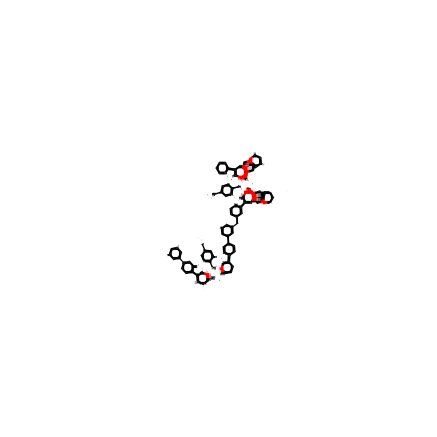 Cc1cc(C)cc(-c2ccc3c(c2)c2ccccc2n3-c2cc(C#N)cc(-n3c4ccc(Cc5cc(C)cc(-c6ccc7c8ccccc8n(-c8cc(C#N)cc(-n9c%10ccccc%10c%10ccc(-c%11cc(C)cc(C)c%11)cc%109)c8-c8nc(C)nc(C)n8)c7c6)c5)cc4c4cc(-c5cc(C)cc(C)c5)ccc43)c2-c2nc(-c3ccccc3)nc(-c3ccccc3)n2)c1